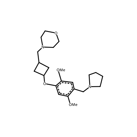 COc1cc(OC2CC(CN3CCOCC3)C2)c(OC)cc1CN1CCCC1